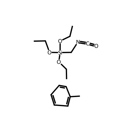 CCO[Si](CN=C=O)(OCC)OCC.Cc1ccccc1